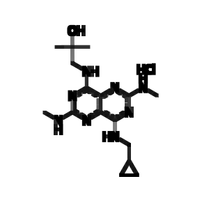 CNc1nc(NCC(C)(C)O)c2nc(NC)nc(NCC3CC3)c2n1.Cl